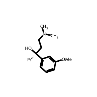 COc1cccc([C@@](O)(CCN(C)C)C(C)C)c1